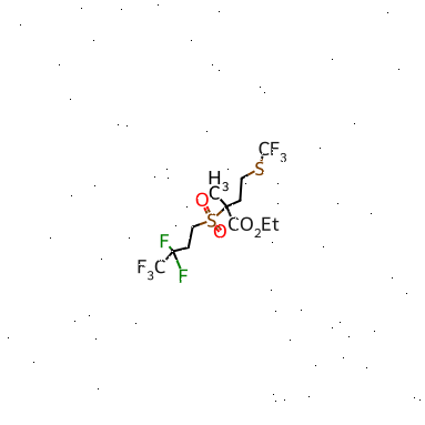 CCOC(=O)C(C)(CCSC(F)(F)F)S(=O)(=O)CCC(F)(F)C(F)(F)F